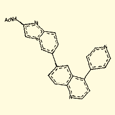 CC(=O)Nc1cn2cc(-c3ccc4nccc(-c5ccncc5)c4c3)ccc2n1